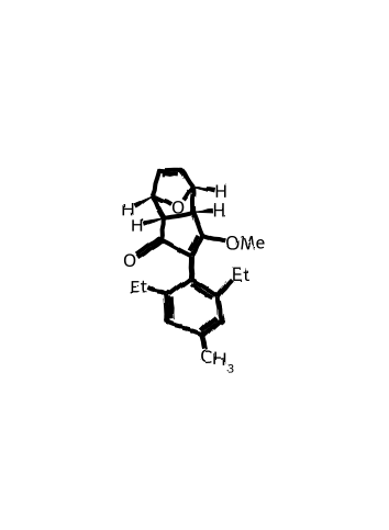 CCc1cc(C)cc(CC)c1C1=C(OC)[C@@H]2[C@H](C1=O)[C@@H]1C=C[C@H]2O1